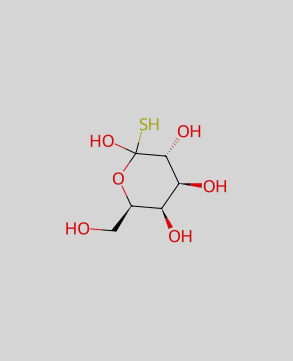 OC[C@H]1OC(O)(S)[C@H](O)[C@@H](O)[C@H]1O